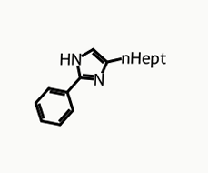 CCCCCCCc1c[nH]c(-c2ccccc2)n1